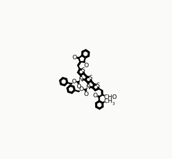 Cc1ccccc1C(=O)/C(C=O)=C\c1cc2c(s1)c1sc3c4sc(C=C5C(=O)c6ccccc6C5=O)cc4n(C(=O)OCc4ccccc4)c3c1n2C(=O)OCc1ccccc1